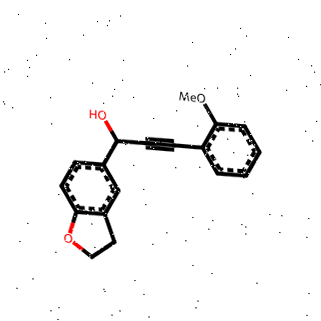 COc1ccccc1C#CC(O)c1ccc2c(c1)CCO2